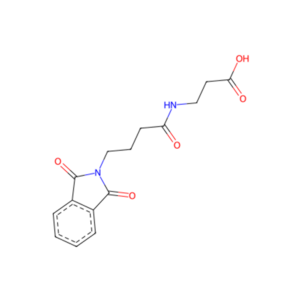 O=C(O)CCNC(=O)CCCN1C(=O)c2ccccc2C1=O